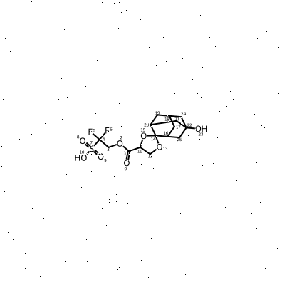 O=C(OCC(F)(F)S(=O)(=O)O)C1COC2(O1)C1CC3CC2CC(O)(C3)C1